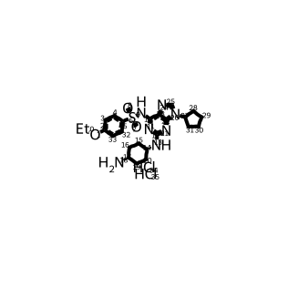 CCOc1ccc(S(=O)(=O)Nc2nc(N[C@H]3CC[C@H](N)CC3)nc3c2ncn3C2CCCC2)cc1.Cl.Cl